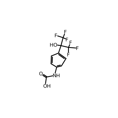 O=C(O)Nc1ccc(C(O)(C(F)(F)F)C(F)(F)F)cc1